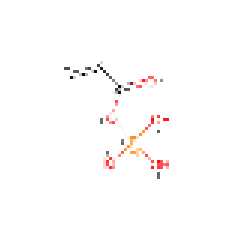 C=CC(=O)O[PH](O)(O)O